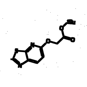 CC(C)(C)OC(=O)COc1ccc2n[c]sc2n1